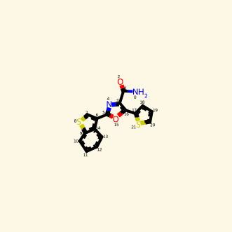 NC(=O)c1nc(-c2csc3ccccc23)oc1-c1cccs1